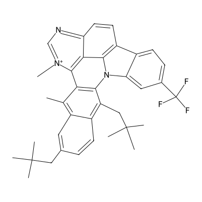 Cc1c2cc(CC(C)(C)C)ccc2c(CC(C)(C)C)c2c1c1c3c(ccc4c5ccc(C(F)(F)F)cc5n2c43)nc[n+]1C